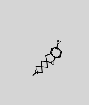 CN1CC2(C1)CC1(Cc3cc(Br)ccc3O1)C2